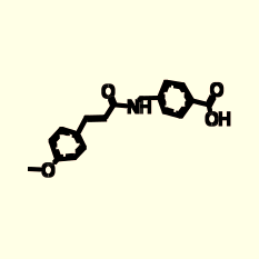 COc1ccc(C=CC(=O)NCc2ccc(C(=O)O)cc2)cc1